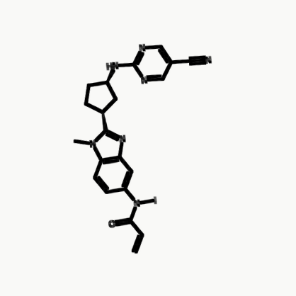 C=CC(=O)N(I)c1ccc2c(c1)nc([C@H]1CC[C@@H](Nc3ncc(C#N)cn3)C1)n2C